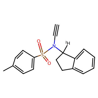 [2H]C1(N(C#C)S(=O)(=O)c2ccc(C)cc2)CCc2ccccc21